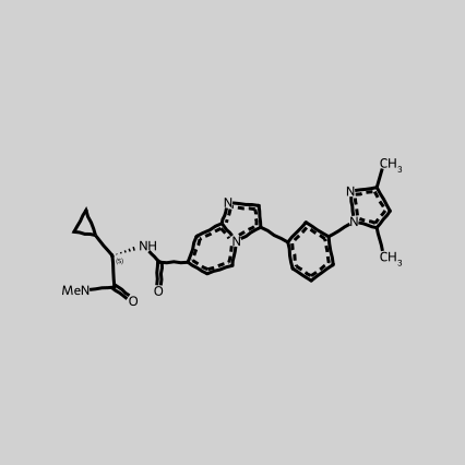 CNC(=O)[C@@H](NC(=O)c1ccn2c(-c3cccc(-n4nc(C)cc4C)c3)cnc2c1)C1CC1